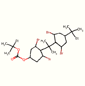 CCC(C)(C)OC(=O)OC1CC(Br)C(C(C)(C)C2C(Br)CC(C(C)(C)CC)CC2Br)C(Br)C1